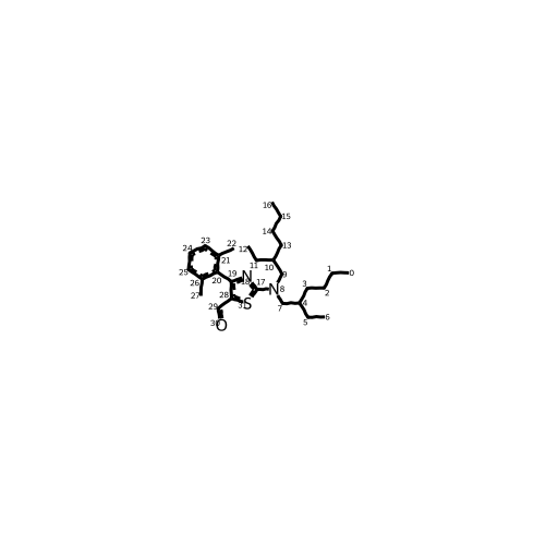 CCCCC(CC)CN(CC(CC)CCCC)c1nc(-c2c(C)cccc2C)c(C=O)s1